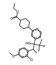 CCOC(=O)C1CCN(c2cc(C(O)(C(C)c3ccc(OC)cc3Cl)C(F)(F)F)ccn2)CC1